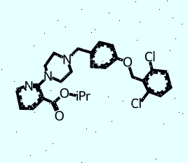 CC(C)OC(=O)c1cccnc1N1CCN(Cc2ccc(OCc3c(Cl)cccc3Cl)cc2)CC1